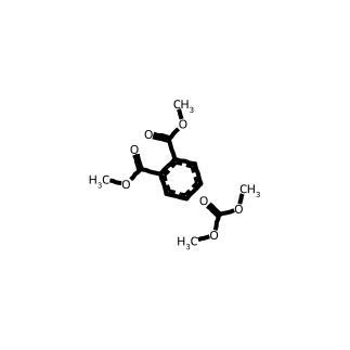 COC(=O)OC.COC(=O)c1ccccc1C(=O)OC